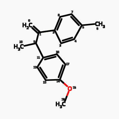 C=C(c1ccc(C)cc1)C(C)c1ccc(OC)cc1